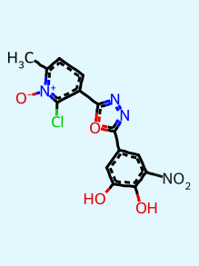 Cc1ccc(-c2nnc(-c3cc(O)c(O)c([N+](=O)[O-])c3)o2)c(Cl)[n+]1[O-]